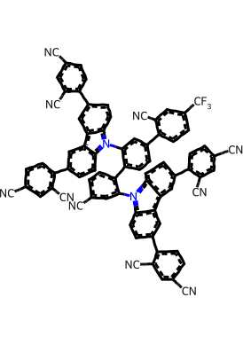 N#Cc1ccc(-c2ccc3c(c2)c2cc(-c4ccc(C#N)cc4C#N)ccc2n3-c2cc(C#N)ccc2-c2ccc(-c3ccc(C(F)(F)F)cc3C#N)cc2-n2c3ccc(-c4ccc(C#N)cc4C#N)cc3c3cc(-c4ccc(C#N)cc4C#N)ccc32)c(C#N)c1